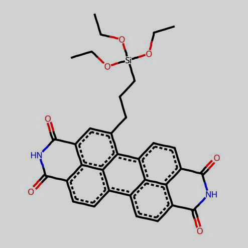 CCO[Si](CCCc1cc2c3c(ccc4c5ccc6c7c(ccc(c1c34)c75)C(=O)NC6=O)C(=O)NC2=O)(OCC)OCC